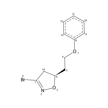 BrC1=NO[C@H](CCOc2ccccc2)C1